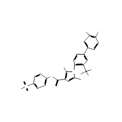 Cc1ccc(-c2ccc(-n3c(C)cc(C(=O)Nc4ccc(S(C)(=O)=O)cc4)c3C)c(C(F)(F)F)c2)cc1C